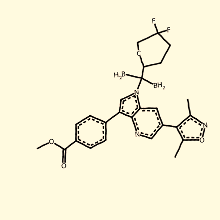 BC(B)(C1CCC(F)(F)CC1)n1cc(-c2ccc(C(=O)OC)cc2)c2ncc(-c3c(C)noc3C)cc21